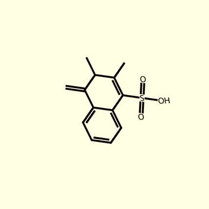 C=C1c2ccccc2C(S(=O)(=O)O)=C(C)C1C